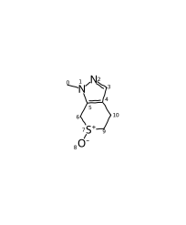 Cn1ncc2c1C[S+]([O-])CC2